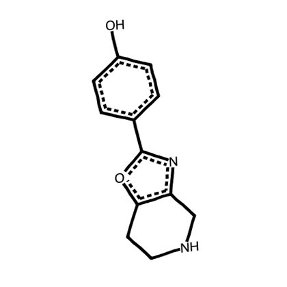 Oc1ccc(-c2nc3c(o2)CCNC3)cc1